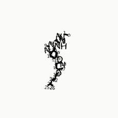 CCn1ncc(Nc2ncnc3ccc(Oc4ccc(OCCCC(C)C)cn4)cc23)n1